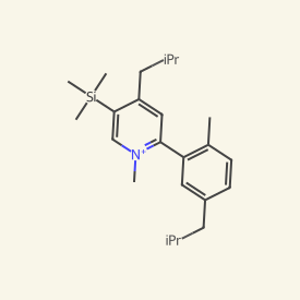 Cc1ccc(CC(C)C)cc1-c1cc(CC(C)C)c([Si](C)(C)C)c[n+]1C